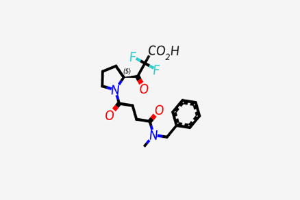 CN(Cc1ccccc1)C(=O)CCC(=O)N1CCC[C@H]1C(=O)C(F)(F)C(=O)O